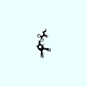 CCC(I)C(=O)OCC1CC2CC1C(C#N)C2C#N